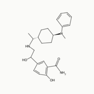 CC(NCC(O)c1ccc(O)c(C(N)=O)c1)[C@H]1CC[C@H](N(C)c2ccccc2)CC1